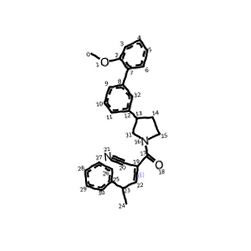 COc1ccccc1-c1cccc(C2CCN(C(=O)/C(C#N)=C/C(C)c3ccccc3)C2)c1